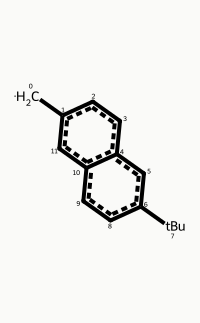 [CH2]c1ccc2cc(C(C)(C)C)ccc2c1